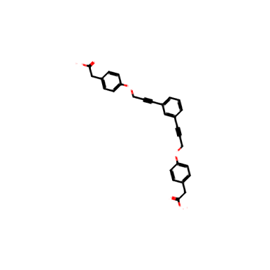 O=C(O)Cc1ccc(OCC#Cc2cccc(C#CCOc3ccc(CC(=O)O)cc3)c2)cc1